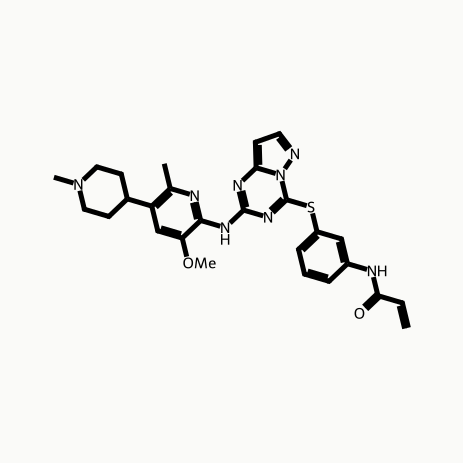 C=CC(=O)Nc1cccc(Sc2nc(Nc3nc(C)c(C4CCN(C)CC4)cc3OC)nc3ccnn23)c1